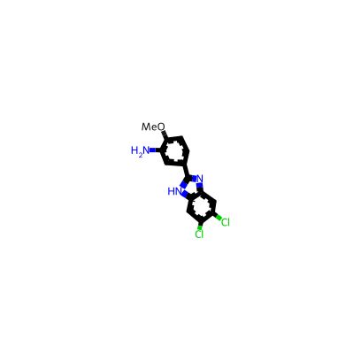 COc1ccc(-c2nc3cc(Cl)c(Cl)cc3[nH]2)cc1N